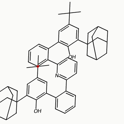 CC(C)(C)c1cc(-c2ccccc2-c2cccc(-c3ccccc3-c3cc(C(C)(C)C)cc(C45CC6CC(CC(C6)C4)C5)c3O)n2)c(O)c(C23CC4CC(CC(C4)C2)C3)c1